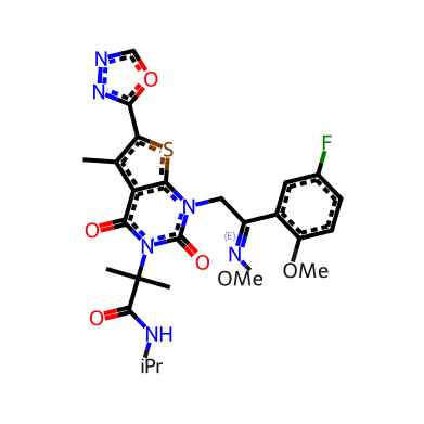 CO/N=C(/Cn1c(=O)n(C(C)(C)C(=O)NC(C)C)c(=O)c2c(C)c(-c3nnco3)sc21)c1cc(F)ccc1OC